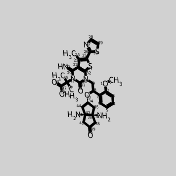 COc1ccccc1C(Cn1c(=O)n(C(C)(C)C(=O)O)c(=N)c2c(C)c(-c3nccs3)sc21)O[C@@H]1C[C@]2(N)CC(=O)C[C@]2(N)C1